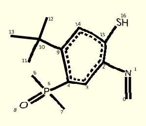 C=Nc1cc(P(C)(C)=O)c(C(C)(C)C)cc1S